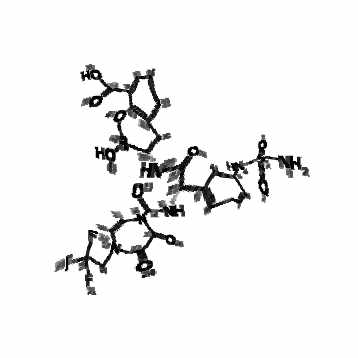 NS(=O)(=O)Nc1cccc([C@H](NC(=O)N2CCN(CC(F)(F)F)C(=O)C2=O)C(=O)N[C@H]2Cc3cccc(C(=O)O)c3OB2O)c1